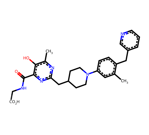 Cc1cc(N2CCC(Cc3nc(C)c(O)c(C(=O)NCC(=O)O)n3)CC2)ccc1Cc1cccnc1